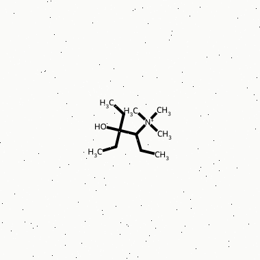 CCC(C(O)(CC)CC)[N+](C)(C)C